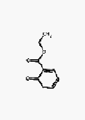 CCOC(=O)C1=CC=CCC1=O